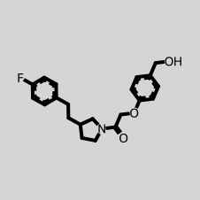 O=C(COc1ccc(CO)cc1)N1CCC(CCc2ccc(F)cc2)C1